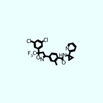 Cc1cc(C2=NOC(c3cc(Cl)cc(Cl)c3)(C(F)(F)F)C2)ccc1C(=O)NC1(c2ccccn2)CC1